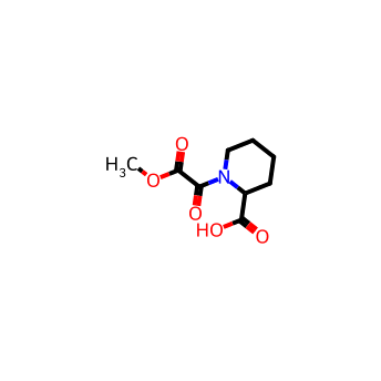 COC(=O)C(=O)N1CCCCC1C(=O)O